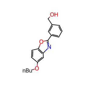 CCCCOc1ccc2oc(-c3cccc(CO)c3)nc2c1